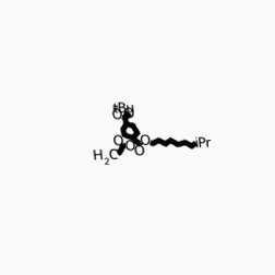 C=CC(=O)OC1(C(=O)OCCCCCCCC(C)C)CCC(C(=O)OC(C)(C)C)CC1